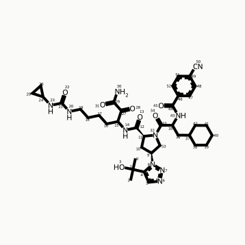 CC(C)(O)c1cnnn1[C@H]1C[C@@H](C(=O)NC(CCCCNC(=O)NC2CC2)C(=O)C(N)=O)N(C(=O)C(CC2CCCCC2)NC(=O)c2ccc(C#N)cc2)C1